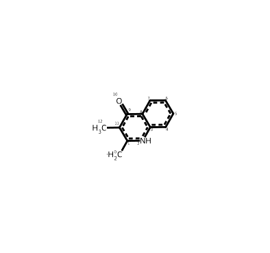 [CH2]c1[nH]c2ccccc2c(=O)c1C